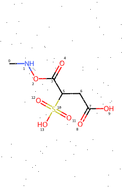 CNOC(=O)C(CC(=O)O)S(=O)(=O)O